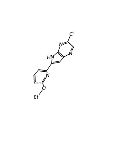 CCOc1cccc(-c2cc3ncc(Cl)nc3[nH]2)n1